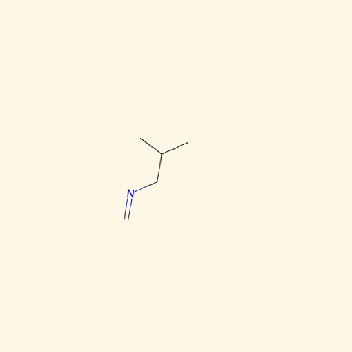 C=NCC(C)C